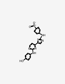 O=[N+]([O-])c1ccc(Nc2ncc(-c3ccnc(Nc4ccc(O)cc4)n3)s2)cc1